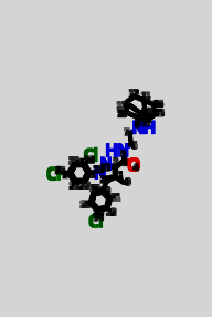 Cc1c(C(=O)NCCNC23CC4CC(CC(C4)C2)C3)nn(-c2ccc(Cl)cc2Cl)c1-c1ccc(Cl)cc1